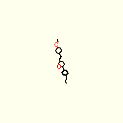 CCCc1ccc(C2CCC(/C=C/C3CCC(OCC)CC3)CO2)cc1